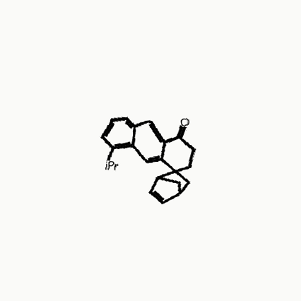 CC(C)c1cccc2cc3c(cc12)C1(CCC3=O)CC2C=CC1C2